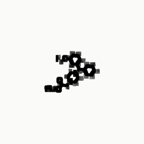 CC(C)(C)OC(=O)CN1CCN([C@H](c2ccccc2)c2cccc(C(F)(F)F)c2)CC1